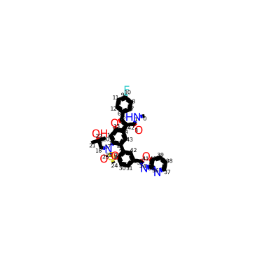 CNC(=O)c1c(-c2ccc(F)cc2)oc2cc(N(CC(C)(C)O)S(C)(=O)=O)c(-c3cccc(-c4nc5ncccc5o4)c3)cc12